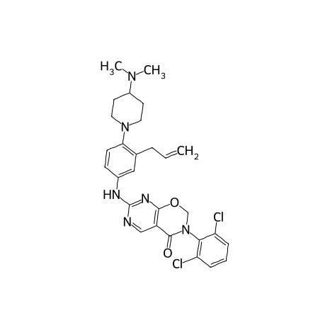 C=CCc1cc(Nc2ncc3c(n2)OCN(c2c(Cl)cccc2Cl)C3=O)ccc1N1CCC(N(C)C)CC1